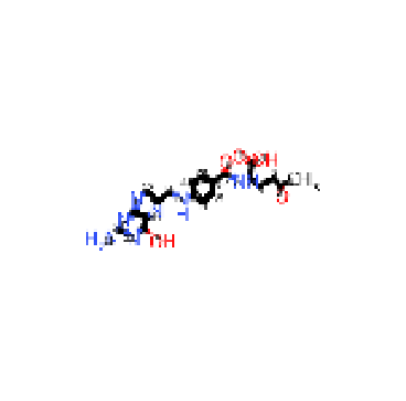 CC(=O)CCC(NC(=O)c1ccc(NCc2cnc3nc(N)nc(O)c3n2)cc1)C(=O)O